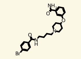 NC(=O)c1cccc(OC2CCN(CCCCNC(=O)c3ccc(Br)cc3)CC2)c1